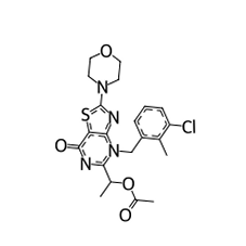 CC(=O)OC(C)c1nc(=O)c2sc(N3CCOCC3)nc2n1Cc1cccc(Cl)c1C